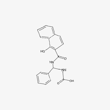 O=C(O)NC(NC(=O)c1ccc2ccccc2c1O)c1ccccc1